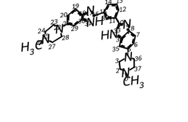 CN1CCN(c2ccc3nc(-c4cccc(-c5nc6ccc(N7CCN(C)CC7)cc6[nH]5)c4)[nH]c3c2)CC1